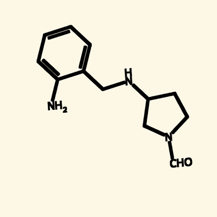 Nc1ccccc1CNC1CCN(C=O)C1